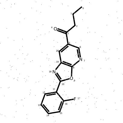 CCCC(=O)c1cnc2oc(-c3ccccc3F)nc2c1